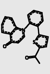 CC(=O)c1ccc(-c2ccccc2-n2ccc(=O)c3ccccc32)s1